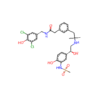 CC(C)(Cc1cccc(CC(=O)NCc2cc(Cl)c(O)c(Cl)c2)c1)NC[C@@H](O)c1ccc(O)c(NS(C)(=O)=O)c1